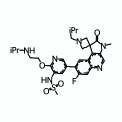 CC(C)CN1CC2(C1)C(=O)N(C)c1cnc3cc(F)c(-c4cnc(OCCNC(C)C)c(NS(C)(=O)=O)c4)cc3c12